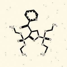 CCOP(=O)(OCC)C1=NN(P(=O)(OCC)OCC)CC1C(=O)c1ccccn1